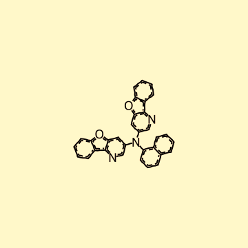 c1ccc2c(N(c3cnc4c(c3)oc3ccccc34)c3cnc4c(c3)oc3ccccc34)cccc2c1